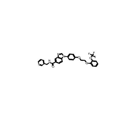 O=C(NCc1cccnc1)c1ccc2c(c1)ncn2-c1ccc(OCCOc2ccccc2OC(F)(F)F)cc1